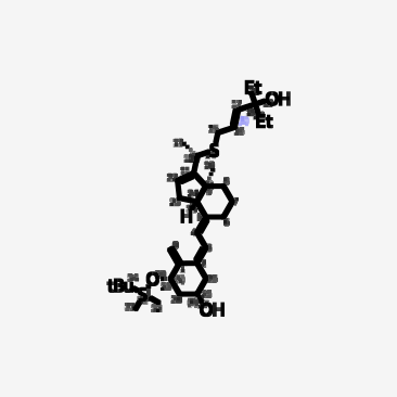 C=C1C(=CC=C2CCC[C@]3(C)C([C@H](C)SC/C=C/C(O)(CC)CC)=CC[C@@H]23)C[C@@H](O)C[C@@H]1O[Si](C)(C)C(C)(C)C